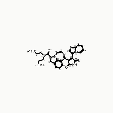 COCCN(CCOC)C(=O)C1Cc2cccc3c2N1C=CN=C3C1=C(c2cnc3ccccn23)C(=O)NC1=O